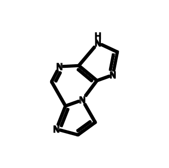 c1cn2c(cnc3[nH]cnc32)n1